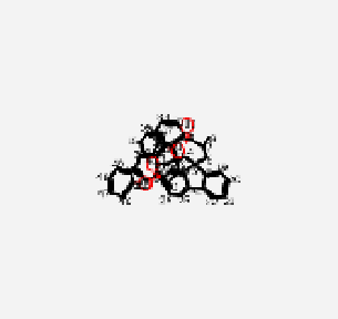 CC(CC1(CC2(CC(C)C(=O)Oc3ccccc3)c3ccccc3-c3ccccc32)c2ccccc2-c2ccccc21)C(=O)Oc1ccccc1